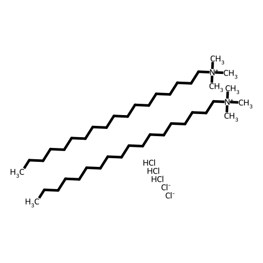 CCCCCCCCCCCCCCCCCC[N+](C)(C)C.CCCCCCCCCCCCCCCCCC[N+](C)(C)C.Cl.Cl.Cl.[Cl-].[Cl-]